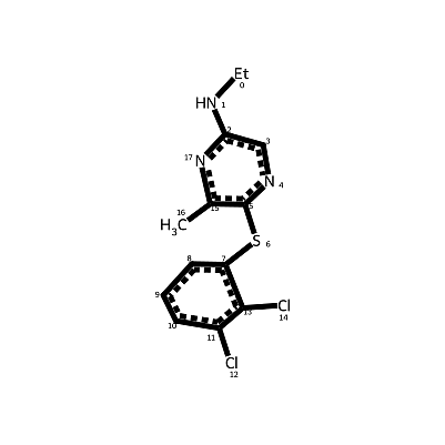 CCNc1cnc(Sc2cccc(Cl)c2Cl)c(C)n1